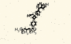 CN(C)CCCN(C)C(=O)N1CCN([C@H]2C[C@](CC#N)(n3cc(-c4ncnc5[nH]ccc45)cn3)C2)CC1